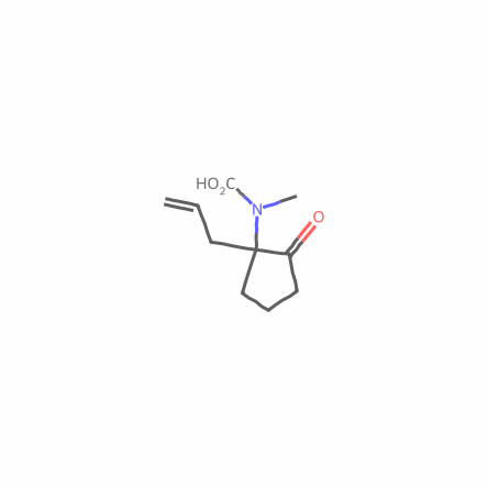 C=CCC1(N(C)C(=O)O)CCCC1=O